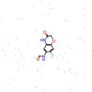 O=CNc1cc2c(cc1F)OCC(=O)N2